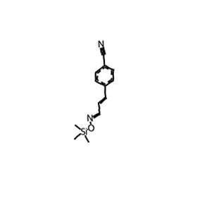 C[Si](C)(C)ON=CC=Cc1ccc(C#N)cc1